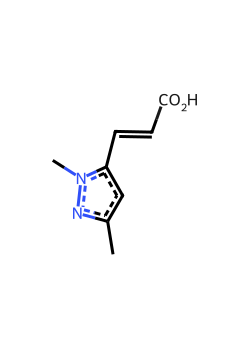 Cc1cc(C=CC(=O)O)n(C)n1